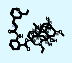 CCc1cc(/C=C/C(=O)Nc2ccccc2C(=O)O[C@@]23CC[C@H](OC)[C@]45C([C@@H](C[C@H]24)[C@@]2(O)C[C@H](OC)C4[C@H]6C[C@@H]5[C@]2(O)[C@@H]46)N(CC)C3)ccn1